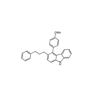 COc1ccc(-c2c(CCCc3ccccc3)ccc3[nH]c4ccccc4c23)cc1